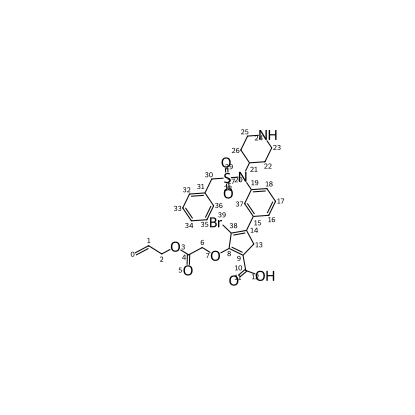 C=CCOC(=O)COC1=C(C(=O)O)CC(c2cccc(N(C3CCNCC3)S(=O)(=O)Cc3ccccc3)c2)=C1Br